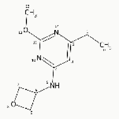 CCc1cc(NC2COC2)nc(OC)n1